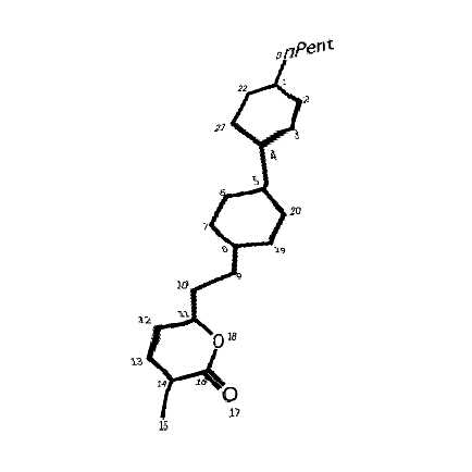 CCCCCC1CCC(C2CCC(CCC3CCC(C)C(=O)O3)CC2)CC1